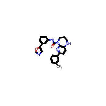 O=C(Nc1cccc(-c2cnco2)c1)N1CCCNc2ccc(-c3cccc(C(F)(F)F)c3)nc21